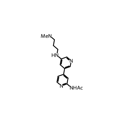 CNCCCNc1cncc(-c2ccnc(NC(C)=O)c2)c1